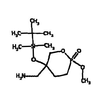 COP1(=O)CCC(CN)(O[Si](C)(C)C(C)(C)C)CO1